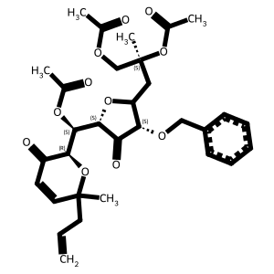 C=CCC1(C)C=CC(=O)[C@@H]([C@@H](OC(C)=O)[C@@H]2OC(C[C@@](C)(COC(C)=O)OC(C)=O)[C@H](OCc3ccccc3)C2=O)O1